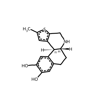 Cc1cc2c(s1)CN[C@@H]1CCc3cc(O)c(O)cc3[C@@H]21